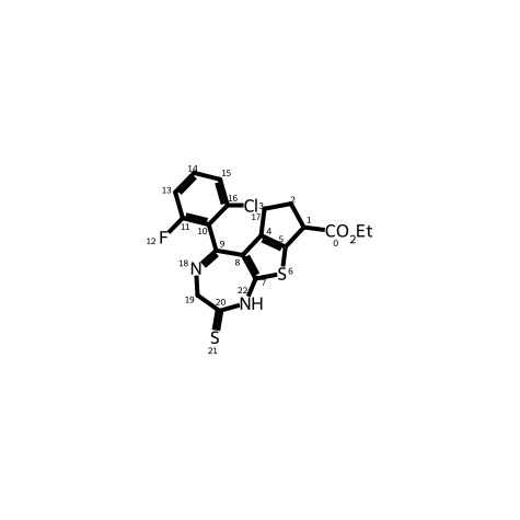 CCOC(=O)C1CCc2c1sc1c2C(c2c(F)cccc2Cl)=NCC(=S)N1